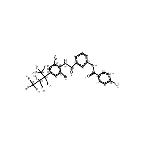 O=C(Nc1cccc(C(=O)Nc2c(Br)cc(C(F)(C(F)(F)F)C(F)(F)C(F)(F)F)cc2Br)c1)c1ccc(Cl)nc1